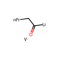 [Li][C](=O)CCCC.[V]